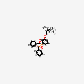 CCCC(C)(C)CCOc1cccc(P(=O)(C(=O)c2ccccc2)C(=O)c2ccccc2)c1